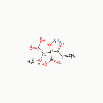 C=CC(=O)C(OC)(C(=O)O)C(OC)C(=O)O